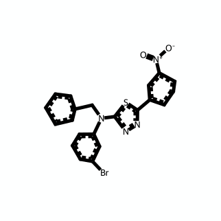 O=[N+]([O-])c1cccc(-c2nnc(N(Cc3ccccc3)c3cccc(Br)c3)s2)c1